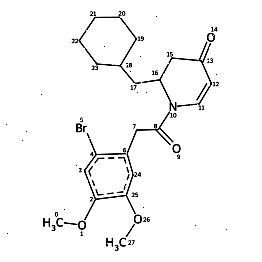 COc1cc(Br)c(CC(=O)N2C=CC(=O)CC2CC2CCCCC2)cc1OC